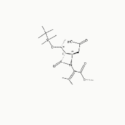 COC(=O)C(=C(C)C)N1C(=O)[C@H]([C@@H](C)O[Si](C)(C)C(C)(C)C)[C@H]1CC(=O)O